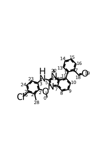 COc1c(Nc2nc3cccc(-c4ccccc4C=O)c3n2C)ccc(Cl)c1C